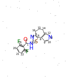 O=C(Nc1nc2c(s1)-c1ccncc1CCC2)c1c(F)cccc1F